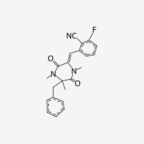 CN1C(=O)C(C)(Cc2ccccc2)N(C)C(=O)C1=Cc1cccc(F)c1C#N